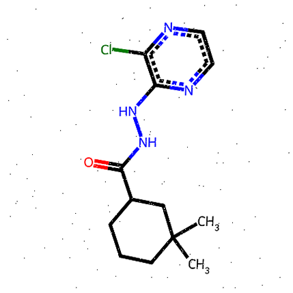 CC1(C)CCCC(C(=O)NNc2nccnc2Cl)C1